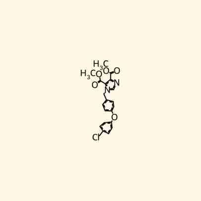 COC(=O)c1ncn(Cc2ccc(Oc3ccc(Cl)cc3)cc2)c1C(=O)OC